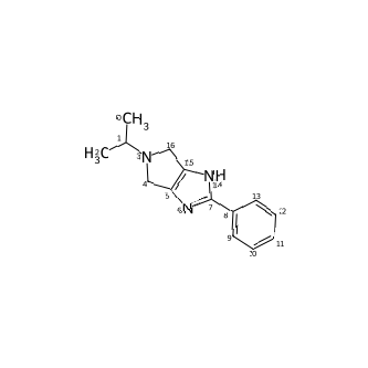 CC(C)N1Cc2nc(-c3ccccc3)[nH]c2C1